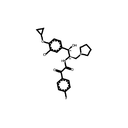 O=C(N[C@H](CN1CCCC1)[C@H](O)c1ccc(OC2CC2)c(Cl)c1)C(=O)c1ccc(F)cc1